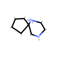 C1CCC2(C1)C[N]CCN2